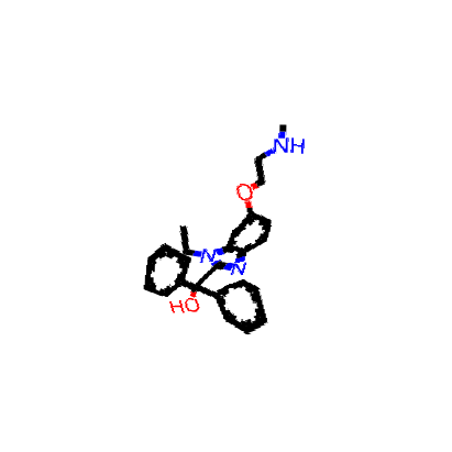 CCn1c(C(O)(c2ccccc2)c2ccccc2)nc2ccc(OCCNC)cc21